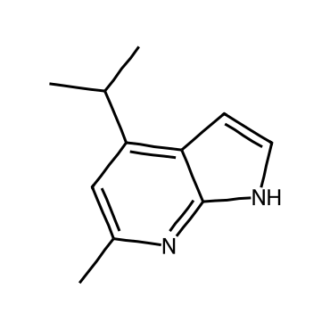 Cc1cc(C(C)C)c2cc[nH]c2n1